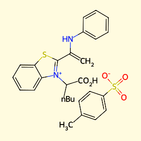 C=C(Nc1ccccc1)c1sc2ccccc2[n+]1C(CCCC)C(=O)O.Cc1ccc(S(=O)(=O)[O-])cc1